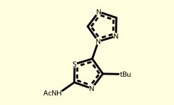 CC(=O)Nc1nc(C(C)(C)C)c(-n2cncn2)s1